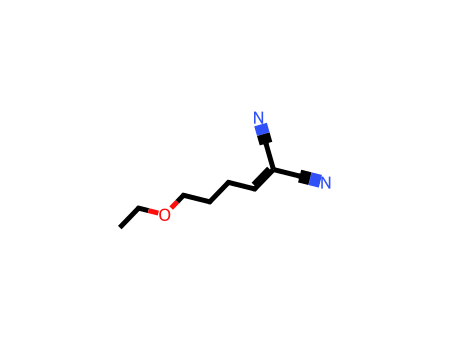 CCOCCCC=C(C#N)C#N